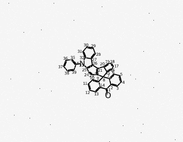 O=C1c2ccccc2C2(c3ccccc31)c1ccccc1-c1c2ccc2c1c1ccccc1n2-c1ccccc1